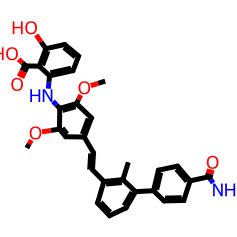 COc1cc(/C=C/c2cccc(-c3ccc(C(N)=O)cc3)c2C)cc(OC)c1Nc1cccc(O)c1C(=O)O